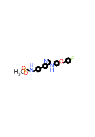 CS(=O)(=O)CCNCc1ccc(-c2ccc3c(Nc4ccc(OCc5ccc(F)cc5)cc4)ccnc3c2)cc1